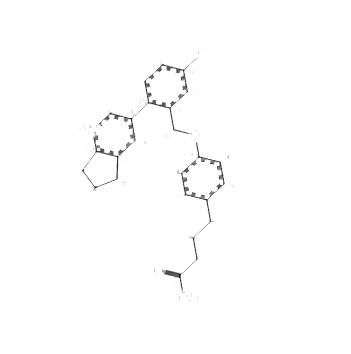 O=C(O)CCCc1ccc(OCc2cc(F)ccc2-c2cnc3c(c2)CCC3)cc1